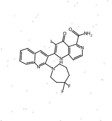 NC(=O)c1nccc2[nH]c(-c3cc4ccccc4nc3N3CCCC(F)(F)CC3)c(I)c(=O)c12